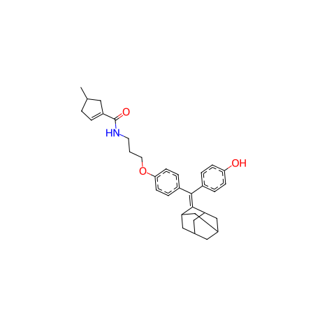 CC1CC=C(C(=O)NCCCOc2ccc(C(=C3C4CC5CC(C4)CC3C5)c3ccc(O)cc3)cc2)C1